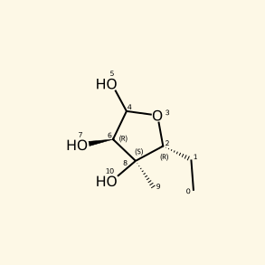 CC[C@H]1OC(O)[C@H](O)[C@]1(C)O